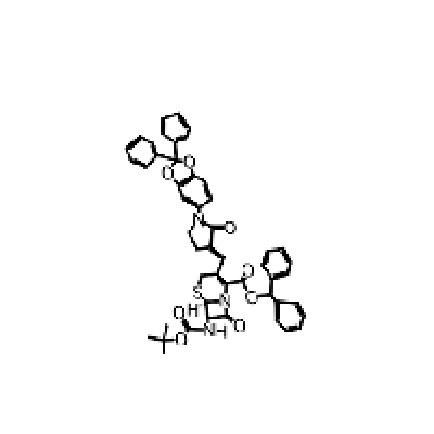 CC(C)(C)OC(=O)N[C@@H]1C(=O)N2C(C(=O)OC(c3ccccc3)c3ccccc3)=C(C=C3CCN(c4ccc5c(c4)OC(c4ccccc4)(c4ccccc4)O5)C3=O)CS[C@H]12